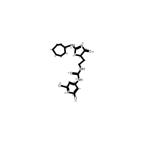 O=C(NCCC1SC(NC2CCCCCC2)=NC1=O)Nc1cc(Cl)nc(Cl)c1